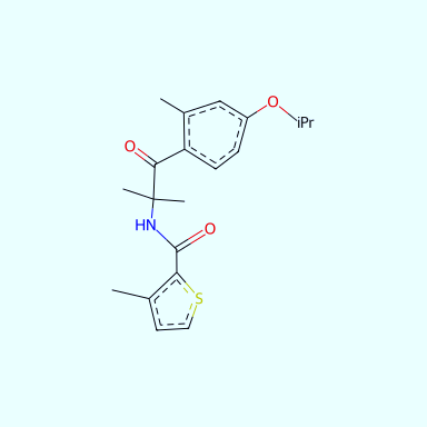 Cc1cc(OC(C)C)ccc1C(=O)C(C)(C)NC(=O)c1sccc1C